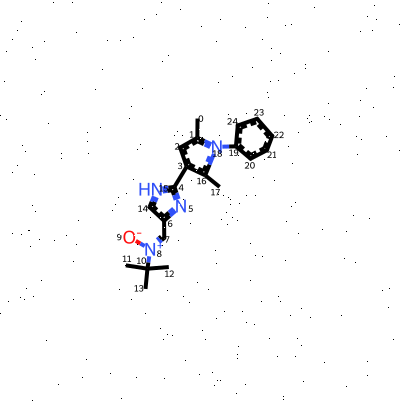 Cc1cc(-c2nc(/C=[N+](\[O-])C(C)(C)C)c[nH]2)c(C)n1-c1ccccc1